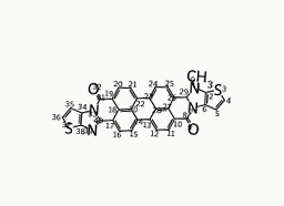 CN1c2sccc2N2C(=O)c3ccc4c5ccc6c7c(ccc(c8ccc(c3c84)C12)c57)c(=O)n1c2ccsc2nc61